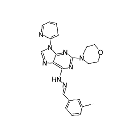 Cc1cccc(/C=N/Nc2nc(N3CCOCC3)nc3c2ncn3-c2ccccn2)c1